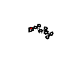 c1ccc2c(c1)c1ccccc1n2-c1ccc2c(c1)c1ccccc1n2-c1cc(-n2c3ccccc3c3ccc(C45CC6CC(CC(C6)C4)C5)cc32)ccn1